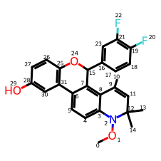 CON1c2ccc3c(c2C(C)=CC1(C)C)C(c1ccc(F)c(F)c1)Oc1ccc(O)cc1-3